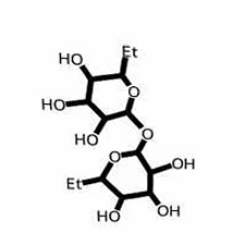 CCC1OC(OC2OC(CC)C(O)C(O)C2O)C(O)C(O)C1O